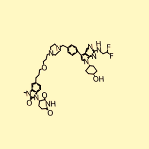 Cn1c(=O)n([C@H]2CCC(=O)NC2=O)c2ccc(CCCOCCCN3CCN(Cc4ccc(-c5cn([C@H]6CC[C@H](O)CC6)c6nc(NCC(F)F)ncc56)cc4)CC3)cc21